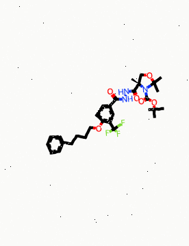 CC(C)(C)OC(=O)N1C(C)(C)OC[C@@]1(C)C(=O)NNC(=O)c1ccc(OCCCCc2ccccc2)c(C(F)(F)F)c1